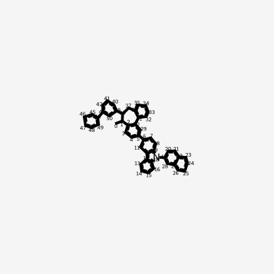 CC1c2ccc(-c3ccc4c(c3)c3ccccc3n4-c3ccc4ccccc4c3)cc2-c2ccccc2CC1c1cccc(-c2ccccc2)c1